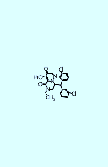 CCN1CC(C(c2cccc(Cl)c2)c2cccc(Cl)c2)n2ncc(=O)c(O)c2C1=O